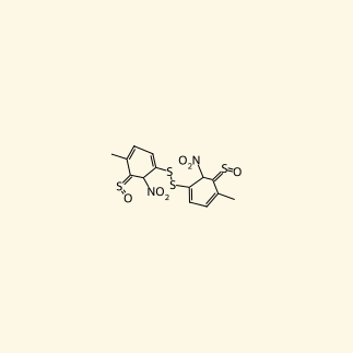 CC1=CC=C(SSC2=CC=C(C)C(=S=O)C2[N+](=O)[O-])C([N+](=O)[O-])C1=S=O